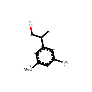 CCCc1cc(OC)cc([C](C)CO)c1